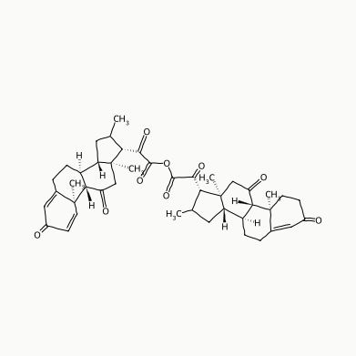 CC1C[C@H]2[C@@H]3CCC4=CC(=O)C=C[C@]4(C)[C@H]3C(=O)C[C@]2(C)[C@H]1C(=O)C(=O)OC(=O)C(=O)[C@H]1C(C)C[C@H]2[C@@H]3CCC4=CC(=O)CC[C@]4(C)[C@H]3C(=O)C[C@]12C